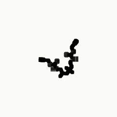 C#CCOC(=O)NCCC(C)(C)CC(C)CNC(=O)OCC#C